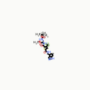 COC(=O)[C@H](CNC(=O)OC(C)(C)C)NC(=O)c1sc(C(=O)NCc2cccc3[nH]ncc23)cc1C(F)(F)F